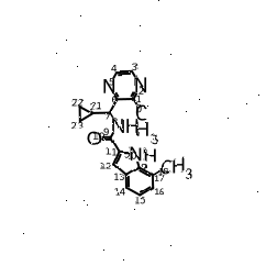 Cc1nccnc1C(NC(=O)c1cc2cccc(C)c2[nH]1)C1CC1